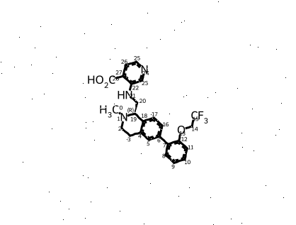 CN1CCc2cc(-c3ccccc3OCC(F)(F)F)ccc2[C@@H]1CNc1cnccc1C(=O)O